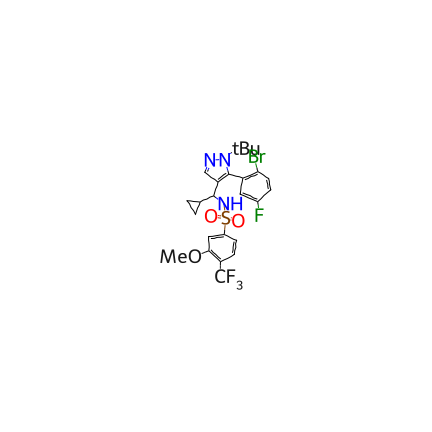 COc1cc(S(=O)(=O)NC(c2cnn(C(C)(C)C)c2-c2cc(F)ccc2Br)C2CC2)ccc1C(F)(F)F